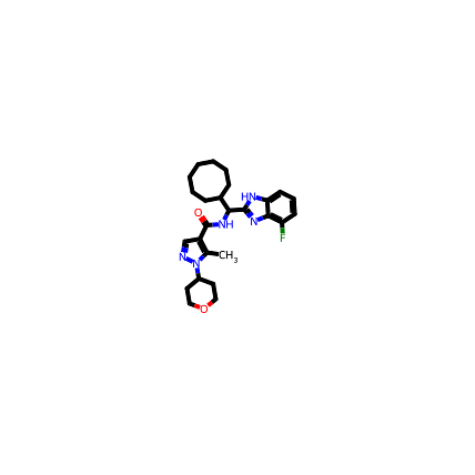 Cc1c(C(=O)NC(c2nc3c(F)cccc3[nH]2)C2CCCCCCC2)cnn1C1CCOCC1